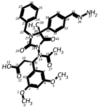 COc1cc(OC)cc([C@@H](CC(=O)O)N(C(C)=O)N2C(=O)N(Cc3ccccc3)[C@](C)(c3ccc(C=NN)cc3)C2=O)c1